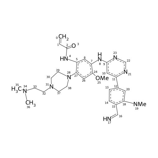 C=CC(=O)Nc1cc(Nc2cc(-c3ccc(C=N)c(NC)c3)ncn2)c(OC)cc1N1CCN(CCN(C)C)CC1